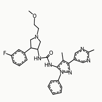 COCCN1CC(NC(=O)Nc2c(C)c(-c3cnc(C)nc3)nn2-c2ccccc2)C(c2cccc(F)c2)C1